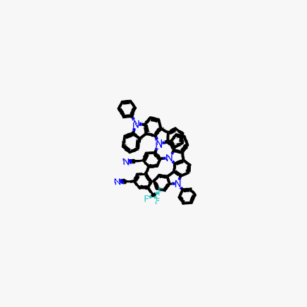 N#Cc1cc(-c2cc(-n3c4ccccc4c4ccc5c(c6ccccc6n5-c5ccccc5)c43)c(-n3c4ccccc4c4ccc5c(c6ccccc6n5-c5ccccc5)c43)cc2C#N)cc(C(F)(F)F)c1